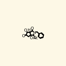 CC(=O)O[C@@]12CC(=O)C(=O)[C@H]1C(=O)N(Cc1ccccc1)C2=O